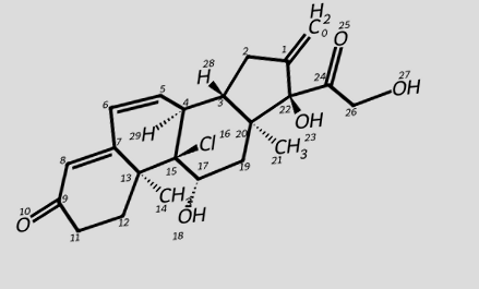 C=C1C[C@H]2[C@@H]3C=CC4=CC(=O)CC[C@]4(C)[C@@]3(Cl)[C@@H](O)C[C@]2(C)[C@@]1(O)C(=O)CO